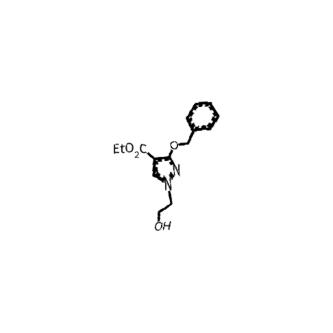 CCOC(=O)c1cn(CCO)nc1OCc1ccccc1